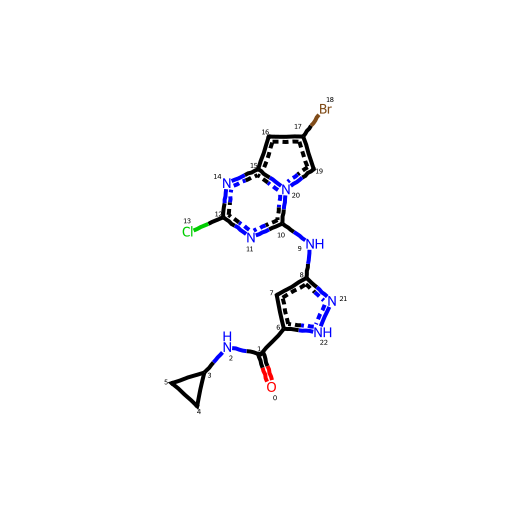 O=C(NC1CC1)c1cc(Nc2nc(Cl)nc3cc(Br)cn23)n[nH]1